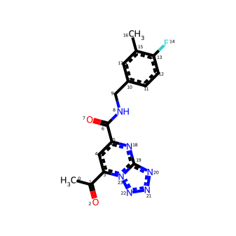 CC(=O)c1cc(C(=O)NCc2ccc(F)c(C)c2)nc2nnnn12